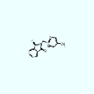 Cc1cnc(CN2C(=O)c3ccccc3C2=O)nc1